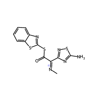 C/N=C(/C(=O)Sc1nc2ccccc2s1)c1nsc(N)n1